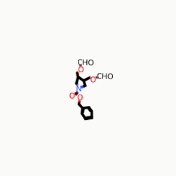 O=COCC1CN(C(=O)OCc2ccccc2)CC1COC=O